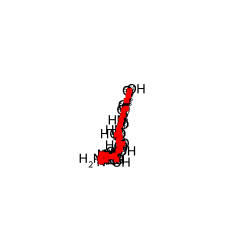 CC(C)(COP(=O)(O)OP(=O)(O)OC[C@H]1O[C@@H](n2cnc3c(N)ncnc32)[C@H](O)[C@@H]1OP(=O)(O)O)[C@@H](O)C(=O)NCCC(=O)NCCSC(=O)CC(=O)CCCCCC(=O)O